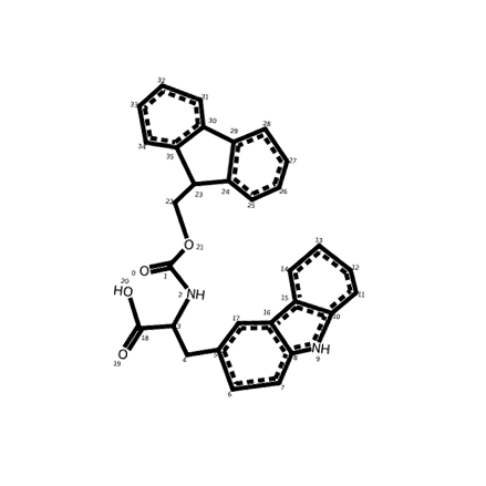 O=C(NC(Cc1ccc2[nH]c3ccccc3c2c1)C(=O)O)OCC1c2ccccc2-c2ccccc21